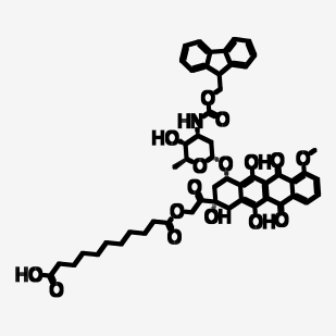 COc1cccc2c1C(=O)c1c(O)c3c(c(O)c1C2=O)C[C@@](O)(C(=O)COC(=O)CCCCCCCCCC(=O)O)C[C@@H]3O[C@H]1C[C@H](NC(=O)OCC2c3ccccc3-c3ccccc32)[C@H](O)[C@H](C)O1